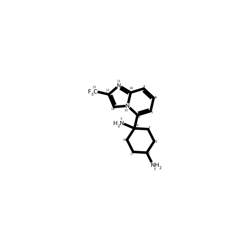 NC1CCC(N)(c2cccc3nc(C(F)(F)F)cn23)CC1